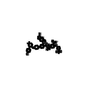 CC1(C)CCC(CN2CCN(c3ccc(C(=O)NS(=O)(=O)c4ccc(O[C@H]5CCN(S(C)(=O)=O)C5)c([N+](=O)[O-])c4)c(-n4ncc5nc6[nH]ccc6cc54)c3)CC2)=C(c2ccc(Cl)cc2)C1